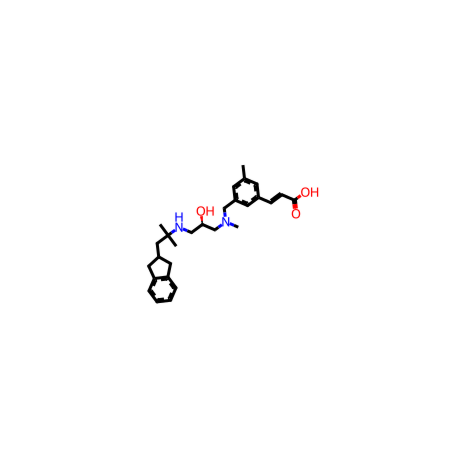 Cc1cc(/C=C/C(=O)O)cc(CN(C)C[C@H](O)CNC(C)(C)CC2Cc3ccccc3C2)c1